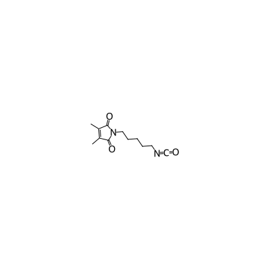 CC1=C(C)C(=O)N(CCCCCN=C=O)C1=O